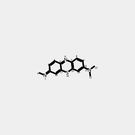 C/N=c1\ccc2nc3ccc(N(C)C)cc3sc-2c1